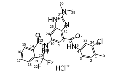 Cc1ccc(NC(=O)c2cc(NC(=O)c3ccccc3C(F)(F)F)cc3[nH]c(N(C)C)nc23)cc1Cl.Cl